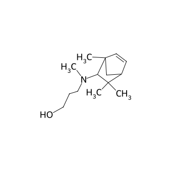 CN(CCCO)C1C2(C)C=CC(C2)C1(C)C